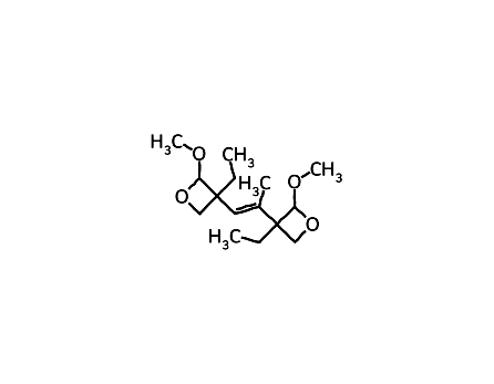 CCC1(C=C(C)C2(CC)COC2OC)COC1OC